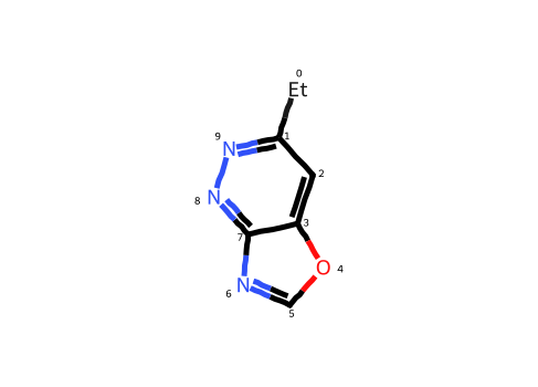 CCc1cc2ocnc2nn1